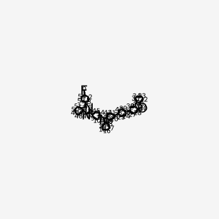 Fc1ccc(-c2nc(-c3ccc(-n4c5ccccc5c5cc(-c6ccc(-c7ccc8oc9ccccc9c8c7)cc6)ccc54)cc3)nc3ccccc23)cc1